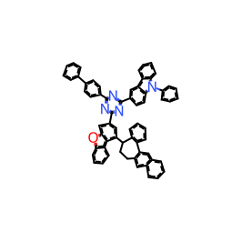 c1ccc(-c2ccc(-c3nc(-c4cc(C5CCc6cc7ccccc7cc6-c6ccccc65)c5c(c4)oc4ccccc45)nc(-c4ccc5c(c4)c4ccccc4n5-c4ccccc4)n3)cc2)cc1